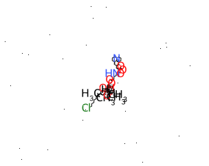 CC(C)(CCCCCCCl)c1cc(O)c2c(c1)OC(C)(C)[C@@H]1CC[C@@H](COC(=O)CCCNC(=O)c3cc4cc5c6c(c4oc3=O)CCCN6CCC5)C[C@@H]21